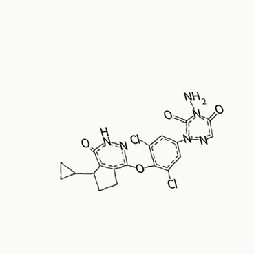 Nn1c(=O)cnn(-c2cc(Cl)c(Oc3n[nH]c(=O)c4c3CCC4C3CC3)c(Cl)c2)c1=O